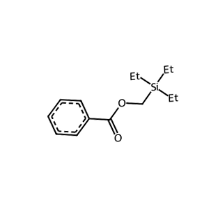 CC[Si](CC)(CC)COC(=O)c1ccccc1